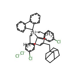 CC1=[C]([Zr+2](=[CH]c2ccc(Cl)cc2)(=[CH]c2ccc(Cl)cc2)[CH]2c3ccccc3-c3ccccc32)C(C)C=C1CC12CC3CC(CC(C3)C1)C2.[Cl-].[Cl-]